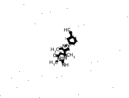 C#Cc1cccc(-n2cc([C@]3(C)CC(=O)N(C)C(=N)N3)c(C)n2)c1